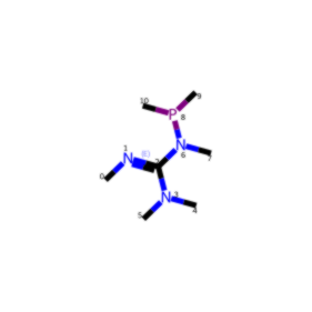 C/N=C(\N(C)C)N(C)P(C)C